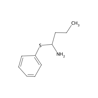 CCCC(N)Sc1ccccc1